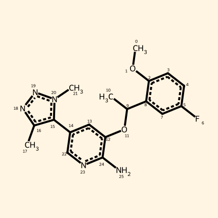 COc1ccc(F)cc1C(C)Oc1cc(-c2c(C)nnn2C)cnc1N